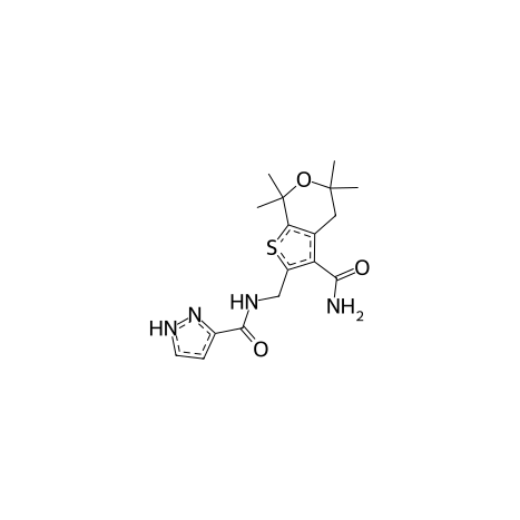 CC1(C)Cc2c(sc(CNC(=O)c3cc[nH]n3)c2C(N)=O)C(C)(C)O1